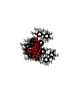 [2H]c1c([2H])c([2H])c([Si](c2c([2H])c([2H])c([2H])c([2H])c2[2H])(c2c([2H])c([2H])c([2H])c([2H])c2[2H])c2c([2H])c([2H])c([2H])c(-c3ccccc3N3c4cc(-n5c6c([2H])c([2H])c([2H])c([2H])c6c6c([2H])c([2H])c([2H])c([2H])c65)ccc4B4c5ccc(-n6c7c([2H])c([2H])c([2H])c([2H])c7c7c([2H])c([2H])c([2H])c([2H])c76)cc5N(c5ccccc5-c5c([2H])c([2H])c([2H])c([Si](c6c([2H])c([2H])c([2H])c([2H])c6[2H])(c6c([2H])c([2H])c([2H])c([2H])c6[2H])c6c([2H])c([2H])c([2H])c([2H])c6[2H])c5[2H])c5cc(C(C)(C)C)cc3c54)c2[2H])c([2H])c1[2H]